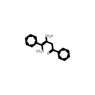 O=C(O)C(CC(=O)c1ccccc1)=C(C(=O)O)c1ccccc1